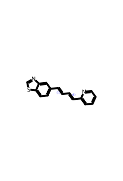 C(/C=C/c1ccccn1)=C\c1ccc2scnc2c1